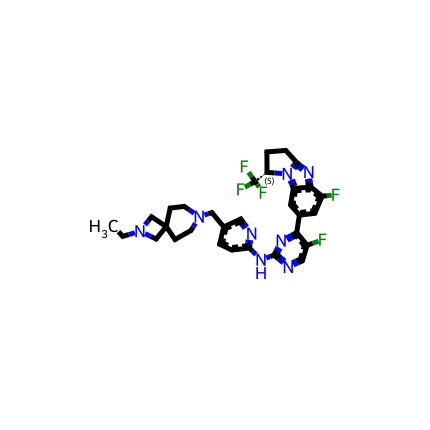 CCN1CC2(CCN(Cc3ccc(Nc4ncc(F)c(-c5cc(F)c6nc7n(c6c5)[C@H](C(F)(F)F)CC7)n4)nc3)CC2)C1